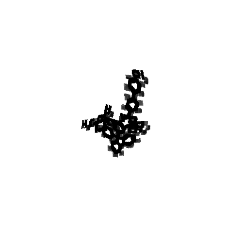 CC1=Nc2ccc(C3(c4ccc5c(c4)C(C)(C(F)(F)F)OC(c4ccc(-c6ccc(C)cc6)cc4)=N5)c4ccccc4-c4ccccc43)cc2C(C)(C(F)(F)F)O1